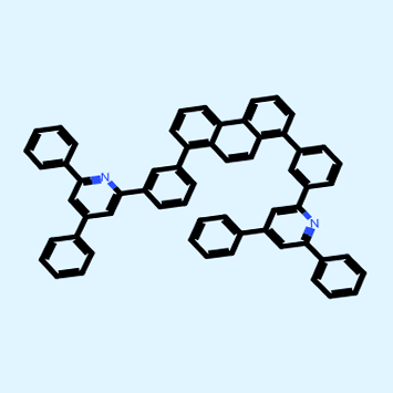 c1ccc(-c2cc(-c3ccccc3)nc(-c3cccc(-c4cccc5c4ccc4c(-c6cccc(-c7cc(-c8ccccc8)cc(-c8ccccc8)n7)c6)cccc45)c3)c2)cc1